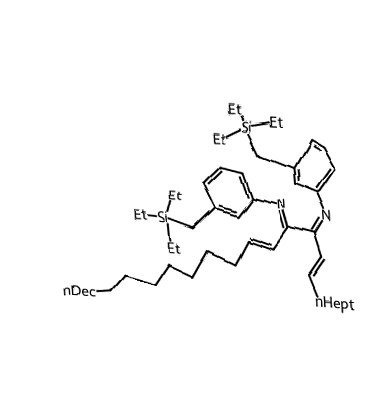 CCCCCCCC=CC(=Nc1cccc(C[Si](CC)(CC)CC)c1)C(C=CCCCCCCCCCCCCCCCCC)=Nc1cccc(C[Si](CC)(CC)CC)c1